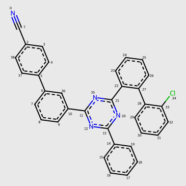 N#Cc1ccc(-c2cccc(-c3nc(-c4ccccc4)nc(-c4ccccc4-c4ccccc4Cl)n3)c2)cc1